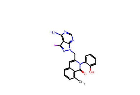 Cc1cccc2cc(Cn3nc(I)c4c(N)ncnc43)n(-c3ccccc3O)c(=O)c12